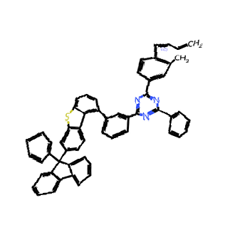 C=C/C=C\c1ccc(-c2nc(-c3ccccc3)nc(-c3cccc(-c4cccc5sc6cc(C7(c8ccccc8)c8ccccc8-c8ccccc87)ccc6c45)c3)n2)cc1C